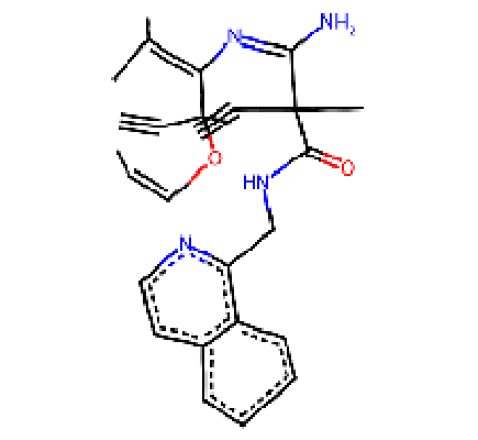 C#CC(C)(O/C=C\C)C(/N=C(/N)C(C)(C#C)C(=O)NCc1nccc2ccccc12)=C(C)C